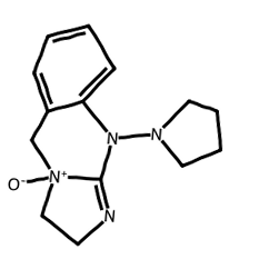 [O-][N+]12CCN=C1N(N1CCCC1)c1ccccc1C2